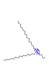 CCCCCCCCCCCCCCCCC1N(CCCC)C=CN1CCCCCCCCCCCCCCCC